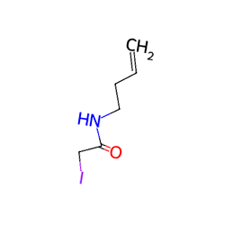 C=CCCNC(=O)CI